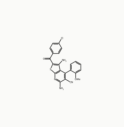 COc1ccccc1-c1c(C#N)c(N)nc2sc(C(=O)c3ccc(Cl)cc3)c(N)c12